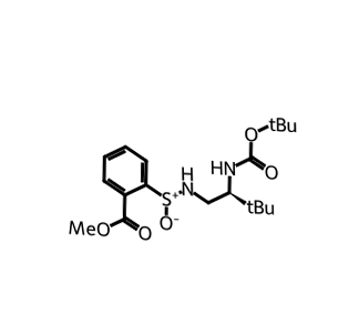 COC(=O)c1ccccc1[S+]([O-])NC[C@@H](NC(=O)OC(C)(C)C)C(C)(C)C